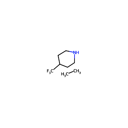 CC.FC(F)(F)C1CCNCC1